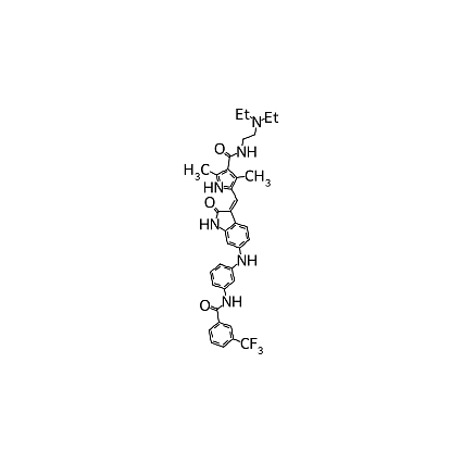 CCN(CC)CCNC(=O)c1c(C)[nH]c(C=C2C(=O)Nc3cc(Nc4cccc(NC(=O)c5cccc(C(F)(F)F)c5)c4)ccc32)c1C